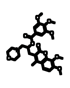 COc1cc(C(=O)OC(Cc2c(C)c3ccc(OC)c(OC)c3oc2=O)CN2CCOCC2)cc(OC)c1OC